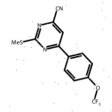 CSc1nc(C#N)cc(-c2ccc(OC(F)(F)F)cc2)n1